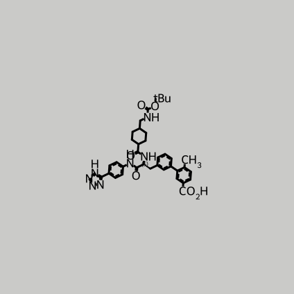 Cc1ccc(C(=O)O)cc1-c1cccc(C[C@H](NC(=O)C2CCC(CNC(=O)OC(C)(C)C)CC2)C(=O)Nc2ccc(-c3nnn[nH]3)cc2)c1